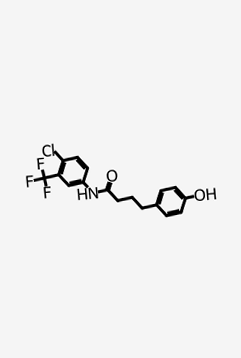 O=C(CCCc1ccc(O)cc1)Nc1ccc(Cl)c(C(F)(F)F)c1